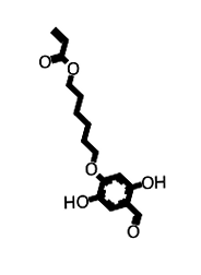 C=CC(=O)OCCCCCCOc1cc(O)c(C=O)cc1O